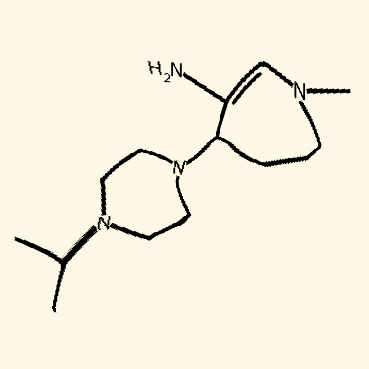 CC(C)N1CCN(C2CCN(C)C=C2N)CC1